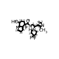 Cc1ncsc1C(CNC(=O)[C@]1(F)CC[C@H](O)c2ncccc21)N1CCC(F)(F)CC1